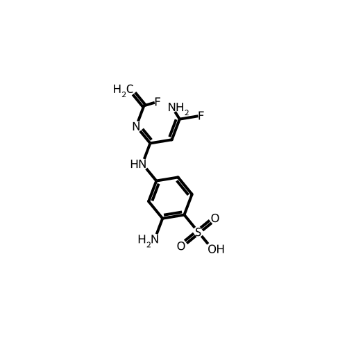 C=C(F)/N=C(\C=C(/N)F)Nc1ccc(S(=O)(=O)O)c(N)c1